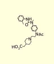 CC(=O)N(CCN1CCC(CC(=O)O)CC1)c1ccc(N(C)C(=O)Nc2ccccc2C)cc1